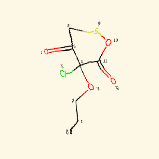 CCCOC1(Cl)C(=O)CSOC1=O